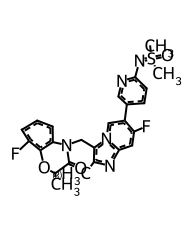 Cc1nc2cc(F)c(-c3ccc(N=S(C)(C)=O)nc3)cn2c1CN1C(=O)[C@@H](C)Oc2c(F)cccc21